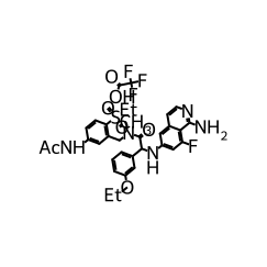 CCOc1cccc(C(Nc2cc(F)c3c(N)nccc3c2)C(=O)N(C)Cc2cc(NC(C)=O)ccc2S(=O)(=O)CC)c1.O=C(O)C(F)(F)F